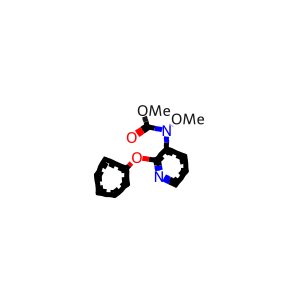 COC(=O)N(OC)c1cccnc1Oc1ccccc1